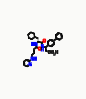 O=C(O)CC(NC(=O)[C@@H](CC1CCCCC1)NC(=O)CCCNc1ccccn1)c1ccc(-c2ccccc2)cc1